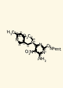 CCC[C@H](C)Oc1nc(N)c([N+](=O)[O-])c(N(CC(=O)OCC)Cc2ccc(C)nc2)n1